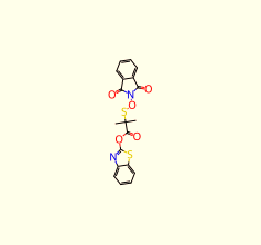 CC(C)(SON1C(=O)c2ccccc2C1=O)C(=O)Oc1nc2ccccc2s1